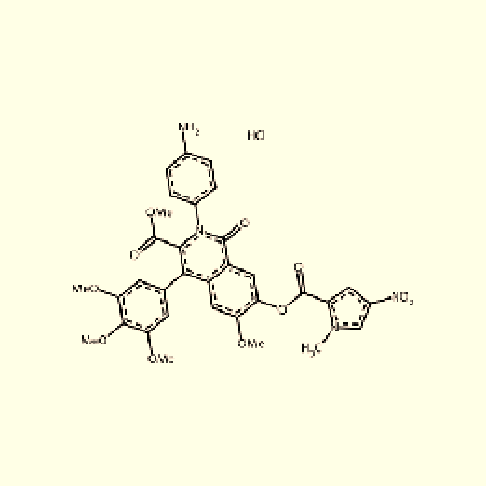 COC(=O)c1c(-c2cc(OC)c(OC)c(OC)c2)c2cc(OC)c(OC(=O)c3cc([N+](=O)[O-])cn3C)cc2c(=O)n1-c1ccc(N)cc1.Cl